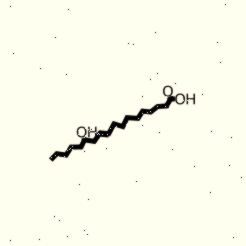 CCCCCC(O)CC=CCCCCCCCCC(=O)O